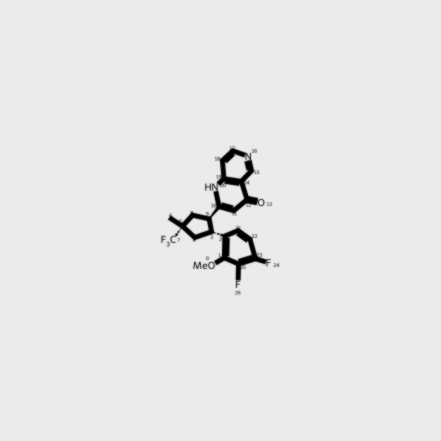 COc1c([C@@H]2C[C@](C)(C(F)(F)F)C[C@H]2c2cc(=O)c3cnccc3[nH]2)ccc(F)c1F